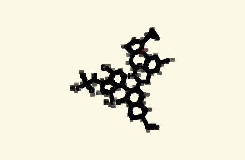 COc1ccc2c(=O)n(-c3ccc(Cl)c4c(NS(C)(=O)=O)nn(C)c34)c(C(Cc3cc(F)cc(F)c3)NC(=O)Cn3ccc(C4CC4)n3)nc2c1